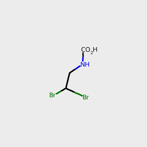 O=C(O)NCC(Br)Br